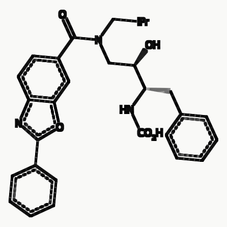 CC(C)CN(C[C@@H](O)[C@H](Cc1ccccc1)NC(=O)O)C(=O)c1ccc2nc(-c3ccccc3)oc2c1